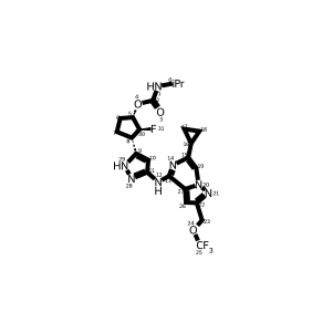 CC(C)NC(=O)O[C@H]1CC[C@@H](c2cc(Nc3nc(C4CC4)cn4nc(COC(F)(F)F)cc34)n[nH]2)[C@@H]1F